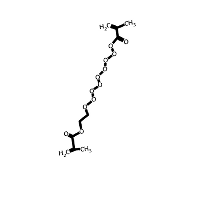 C=C(C)C(=O)OCCOOOOOOOOOC(=O)C(=C)C